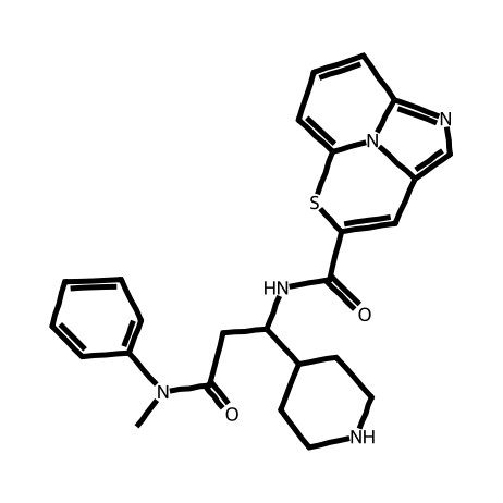 CN(C(=O)CC(NC(=O)C1=Cc2cnc3cccc(n23)S1)C1CCNCC1)c1ccccc1